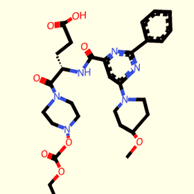 CCOC(=O)ON1CCN(C(=O)[C@H](CCC(=O)O)NC(=O)c2cc(N3CCC(OC)CC3)nc(-c3ccccc3)n2)CC1